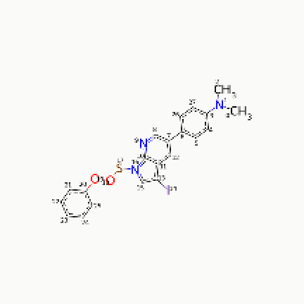 CN(C)c1ccc(-c2cnc3c(c2)c(I)cn3SOOc2ccccc2)cc1